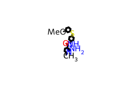 COc1cccc(Sc2ccc(NC(=O)c3ccc(C)nc3N)cc2)c1